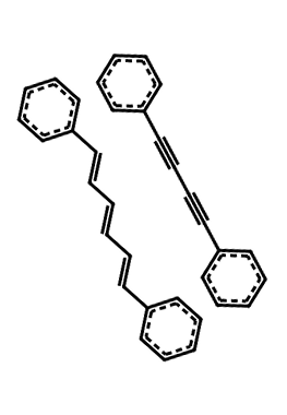 C(=CC=Cc1ccccc1)C=Cc1ccccc1.C(C#Cc1ccccc1)#Cc1ccccc1